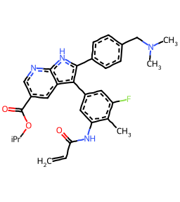 C=CC(=O)Nc1cc(-c2c(-c3ccc(CN(C)C)cc3)[nH]c3ncc(C(=O)OC(C)C)cc23)cc(F)c1C